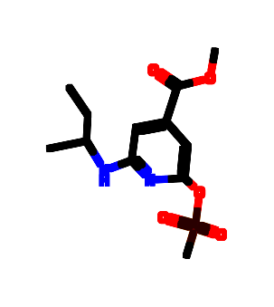 CCC(C)Nc1cc(C(=O)OC)cc(OS(C)(=O)=O)n1